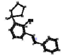 CC1(c2cccc(/C=N/c3ccccc3)c2O)CCCC1